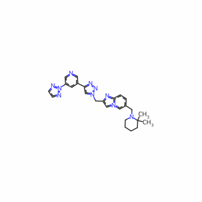 CC1(C)CCCCN1Cc1ccc2nc(Cn3cc(-c4cncc(-n5nccn5)c4)nn3)cn2c1